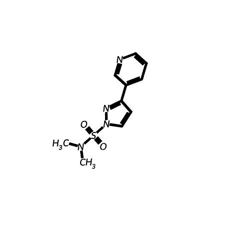 CN(C)S(=O)(=O)n1ccc(-c2cccnc2)n1